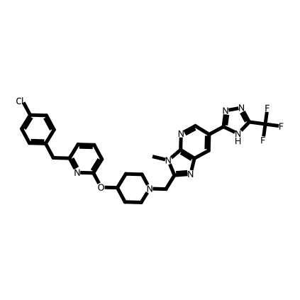 Cn1c(CN2CCC(Oc3cccc(Cc4ccc(Cl)cc4)n3)CC2)nc2cc(-c3nnc(C(F)(F)F)[nH]3)cnc21